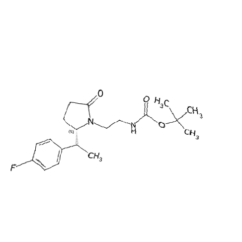 CC(c1ccc(F)cc1)[C@@H]1CCC(=O)N1CCNC(=O)OC(C)(C)C